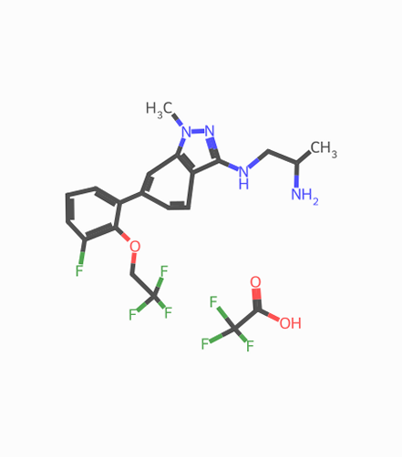 CC(N)CNc1nn(C)c2cc(-c3cccc(F)c3OCC(F)(F)F)ccc12.O=C(O)C(F)(F)F